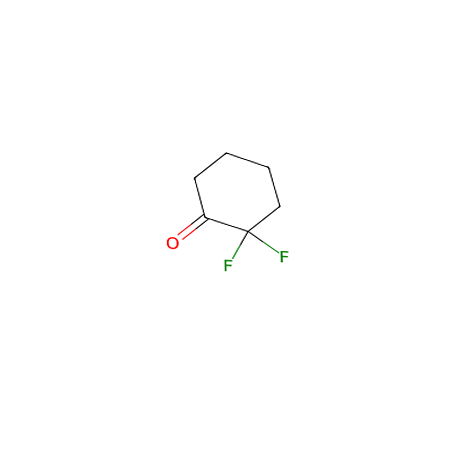 O=C1CCCCC1(F)F